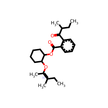 CC/C(C)=C(/C)OC1CCCCC1OC(=O)c1ccccc1C(=O)C(C)CC